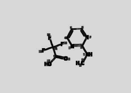 CNc1ncccn1.O=C(O)C(F)(F)F